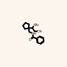 CC(C)(C)C(CC#N)C1(CNC(=O)c2ccccc2)CCCC1